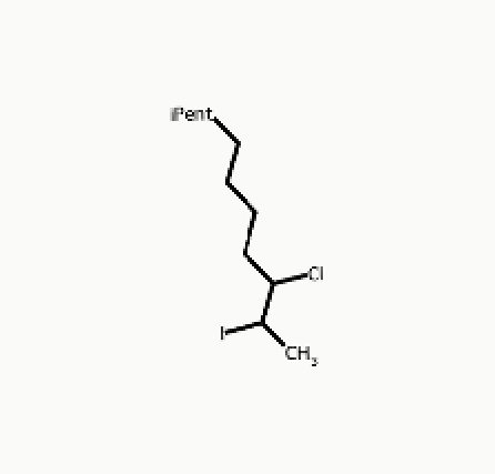 CCCC(C)CCCCC(Cl)C(C)I